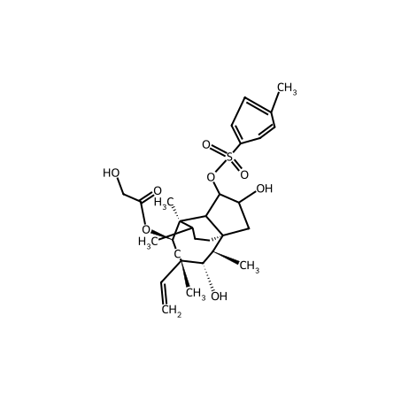 C=C[C@]1(C)C[C@@H](OC(=O)CO)[C@]2(C)C(C)CC[C@]3(CC(O)C(OS(=O)(=O)c4ccc(C)cc4)C32)[C@@H](C)[C@@H]1O